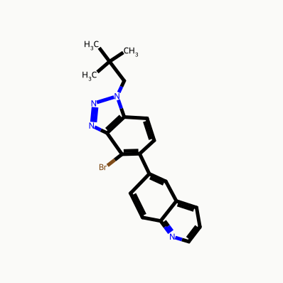 CC(C)(C)Cn1nnc2c(Br)c(-c3ccc4ncccc4c3)ccc21